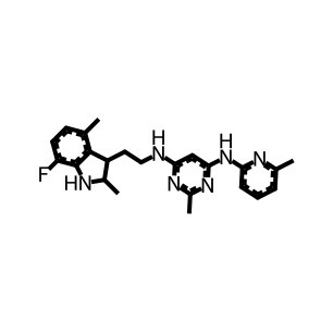 Cc1cccc(Nc2cc(NCCC3c4c(C)ccc(F)c4NC3C)nc(C)n2)n1